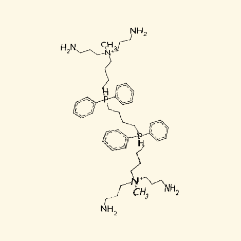 C[N+](CCCN)(CCCN)CCCC[PH](CCCC[PH](CCCC[N+](C)(CCCN)CCCN)(c1ccccc1)c1ccccc1)(c1ccccc1)c1ccccc1